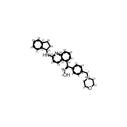 ON=C(c1ccc(CN2CCOCC2)cc1)c1cccc2nc(NC3CCc4ccccc43)ccc12